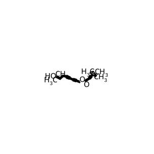 CC(C)(O)CCC#CC#CCOC(=O)C#C[Si](C)(C)C